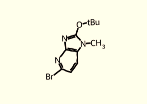 Cn1c(OC(C)(C)C)nc2nc(Br)ccc21